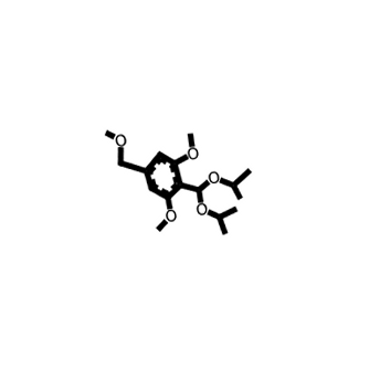 COCc1cc(OC)c(C(OC(C)C)OC(C)C)c(OC)c1